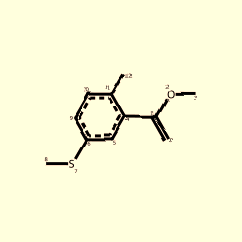 C=C(OC)c1cc(SC)ccc1C